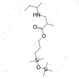 CCC(C)NCC(C)C(=O)OCCC[Si](C)(C)O[Si](C)(C)C